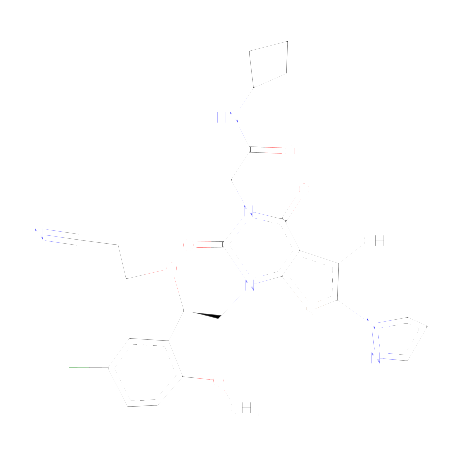 COc1ccc(F)cc1[C@H](Cn1c(=O)n(CC(=O)NC2CCC2)c(=O)c2c(C)c(-n3cccn3)sc21)OCCC#N